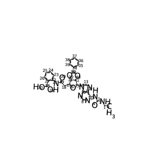 CCNC(=O)Nc1ncnc2c1ncn2C1OC(CC(=O)Nc2ccccc2C(=O)O)C2O[C@H](c3ccccc3)OC21